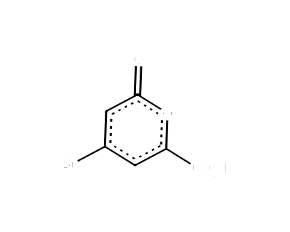 O=C(O)c1cc(Br)cc(=O)o1